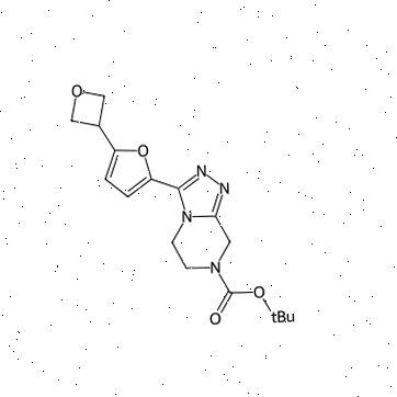 CC(C)(C)OC(=O)N1CCn2c(nnc2-c2ccc(C3COC3)o2)C1